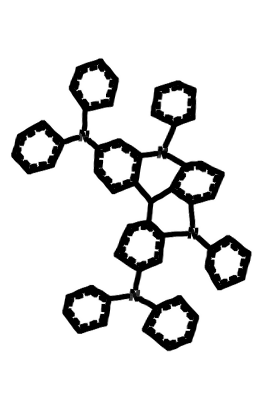 c1ccc(N(c2ccccc2)c2ccc3c(c2)N(c2ccccc2)c2cccc4c2C3c2ccc(N(c3ccccc3)c3ccccc3)cc2N4c2ccccc2)cc1